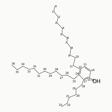 CCCCCCCCCCCCc1ccc(O)c(CCCCCC)c1CCCCCCCCCCCC